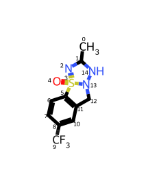 CC1N=S2(=O)c3ccc(C(F)(F)F)cc3CN2N1